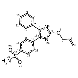 C=CCOc1nc(-c2ccccc2)n(-c2ccc(S(N)(=O)=O)cc2)n1